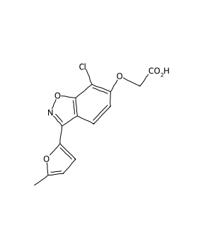 Cc1ccc(-c2noc3c(Cl)c(OCC(=O)O)ccc23)o1